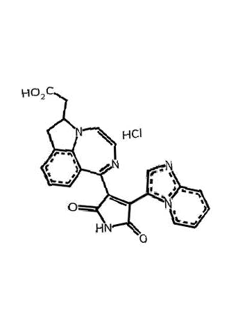 Cl.O=C(O)CC1Cc2cccc3c2N1C=CN=C3C1=C(c2cnc3ccccn23)C(=O)NC1=O